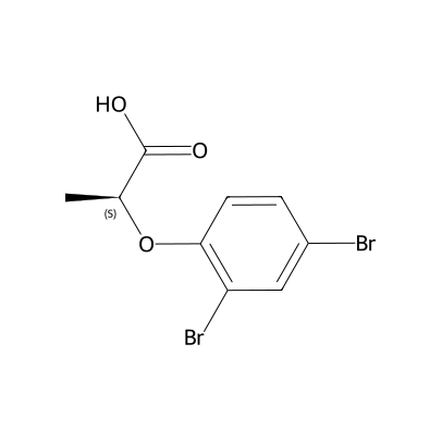 C[C@H](Oc1ccc(Br)cc1Br)C(=O)O